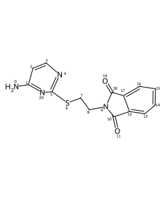 Nc1ccnc(SCCN2C(=O)c3ccccc3C2=O)n1